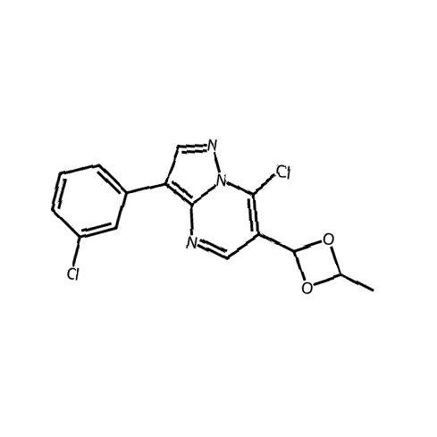 CC1OC(c2cnc3c(-c4cccc(Cl)c4)cnn3c2Cl)O1